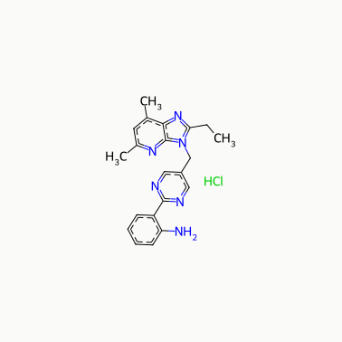 CCc1nc2c(C)cc(C)nc2n1Cc1cnc(-c2ccccc2N)nc1.Cl